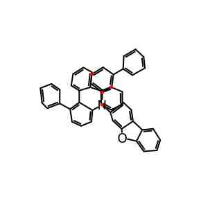 c1ccc(-c2cccc(N(c3ccc4c(c3)oc3ccccc34)c3cccc(-c4ccccc4)c3-c3ccccc3-c3ccccc3)c2)cc1